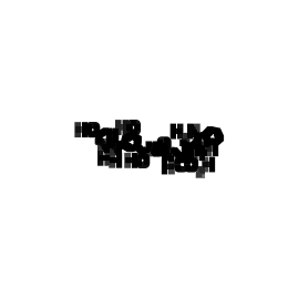 CC(NC(CNC(=O)CNC(O)c1cc(O)cc(NC2=NCC(O)CN2)c1)C(=O)O)c1[nH]c2ccccc2c1N